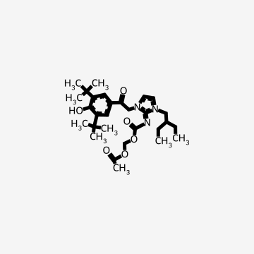 CCC(CC)Cn1ccn(CC(=O)c2cc(C(C)(C)C)c(O)c(C(C)(C)C)c2)c1=NC(=O)OCOC(C)=O